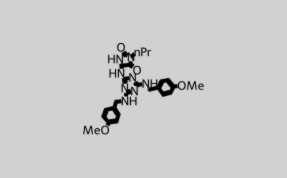 CCCN1C(=O)NC(Nc2nc(NCc3ccc(OC)cc3)nc(NCc3ccc(OC)cc3)n2)C1=O